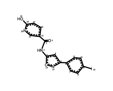 O=C(Nc1cc(-c2ccc(I)cc2)no1)c1ccc(O)nc1